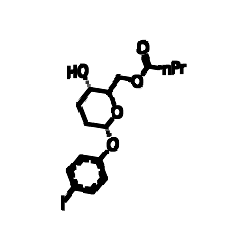 CCCC(=O)OCC1O[C@H](Oc2ccc(I)cc2)CC[C@@H]1O